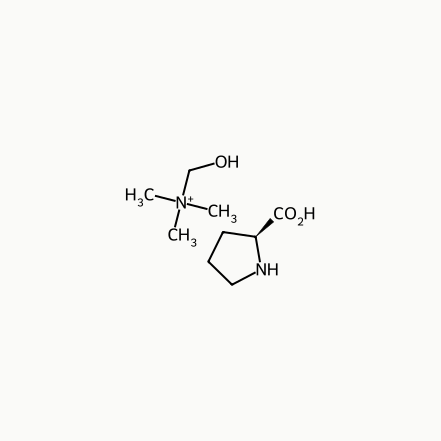 C[N+](C)(C)CO.O=C(O)[C@@H]1CCCN1